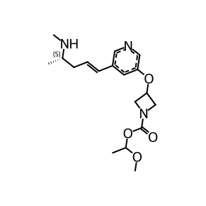 CN[C@@H](C)CC=Cc1cncc(OC2CN(C(=O)OC(C)OC)C2)c1